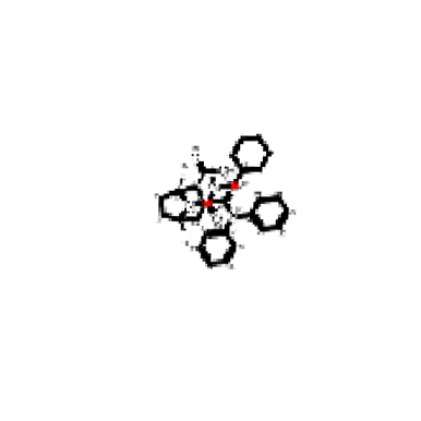 CN(CC1CCCCC1)C(=O)N1[C@H]2CC[C@@H]1[C@@H](C(=O)O)N(C(=O)N(c1ccccc1)c1ccccc1)C2